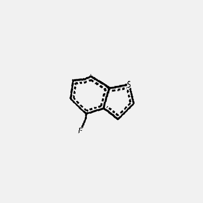 Fc1cc[c]c2sccc12